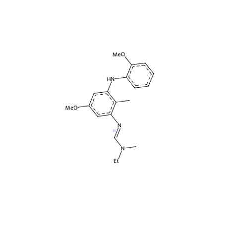 CCN(C)/C=N/c1cc(OC)cc(Nc2ccccc2OC)c1C